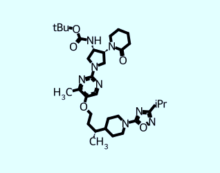 Cc1nc(N2C[C@H](NC(=O)OC(C)(C)C)[C@H](N3CCCCC3=O)C2)ncc1OCC[C@@H](C)C1CCN(c2nc(C(C)C)no2)CC1